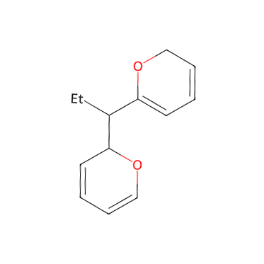 CCC(C1=CC=CCO1)C1C=CC=CO1